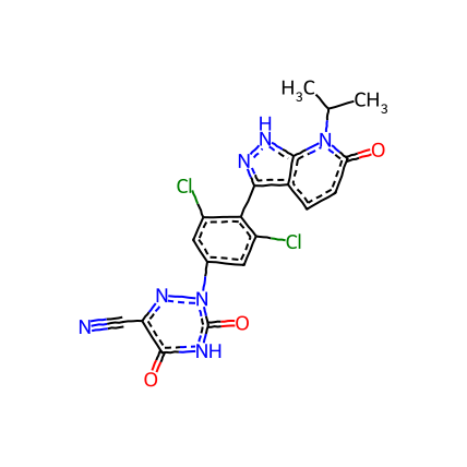 CC(C)n1c(=O)ccc2c(-c3c(Cl)cc(-n4nc(C#N)c(=O)[nH]c4=O)cc3Cl)n[nH]c21